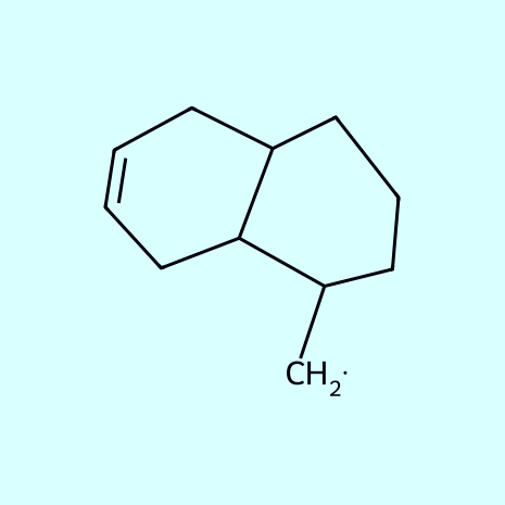 [CH2]C1CCCC2CC=CCC12